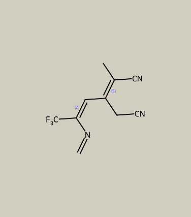 C=N/C(=C\C(CC#N)=C(/C)C#N)C(F)(F)F